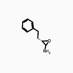 NC1O[C@H]1CCc1ccccc1